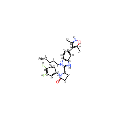 COCCCn1c(C2CCC(=O)N2c2ccc(F)c(F)c2)nc2cc(-c3c(C)noc3C)ccc21